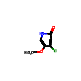 CCOC(=O)Oc1c[nH]c(=O)cc1Cl